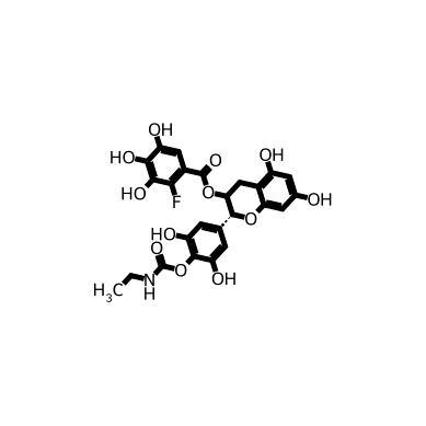 CCNC(=O)Oc1c(O)cc([C@H]2Oc3cc(O)cc(O)c3CC2OC(=O)c2cc(O)c(O)c(O)c2F)cc1O